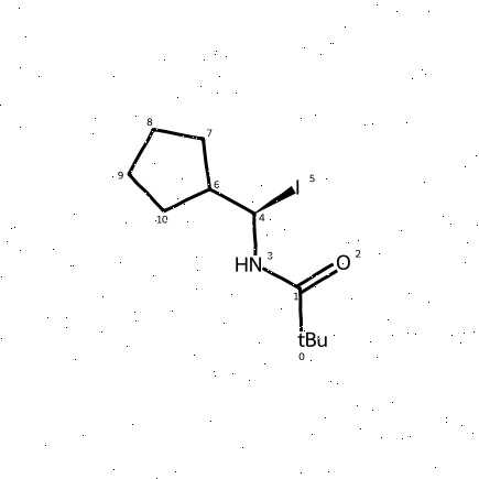 CC(C)(C)C(=O)N[C@H](I)C1CCCC1